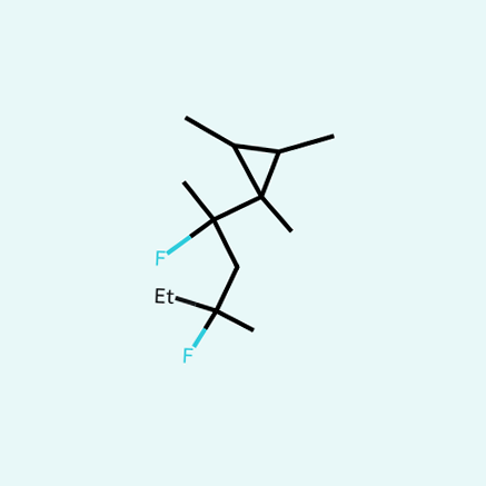 CCC(C)(F)CC(C)(F)C1(C)C(C)C1C